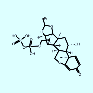 CCCC1O[C@@H]2C[C@H]3[C@@H]4CCC5=CC(=O)C=C[C@]5(C)[C@H]4[C@@H](O)C[C@]3(C)[C@]2(C(=O)COP(=O)(O)OP(=O)(O)O)O1